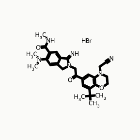 Br.CNC(=O)c1cc2c(cc1N(C)C)CN(CC(=O)c1cc3c(c(C(C)(C)C)c1)OCCN3CC#N)C2=N